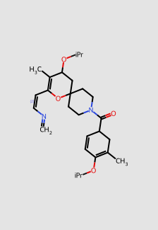 C=N/C=C\C1=C(C)C(OC(C)C)CC2(CCN(C(=O)C3C=CC(OC(C)C)=C(C)C3)CC2)O1